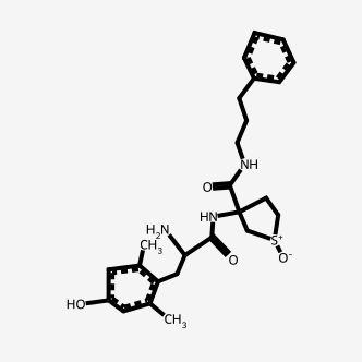 Cc1cc(O)cc(C)c1CC(N)C(=O)NC1(C(=O)NCCCc2ccccc2)CC[S+]([O-])C1